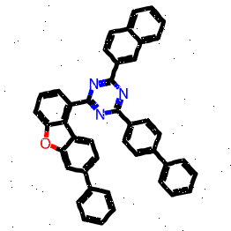 c1ccc(-c2ccc(-c3nc(-c4ccc5ccccc5c4)nc(-c4cccc5oc6cc(-c7ccccc7)ccc6c45)n3)cc2)cc1